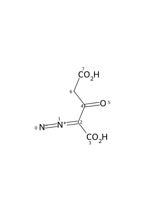 [N-]=[N+]=C(C(=O)O)C(=O)CC(=O)O